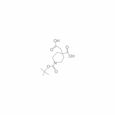 CC(C)(C)OC(=O)N1CCC(CC(=O)O)(C(=O)O)CC1